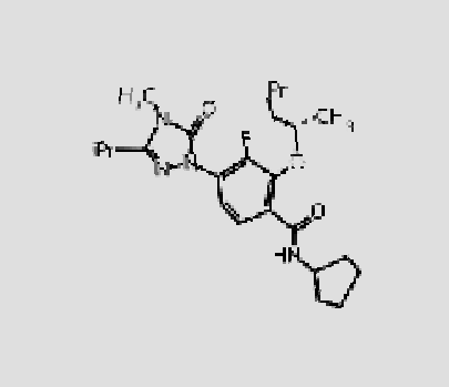 CC(C)C[C@H](C)Oc1c(C(=O)NC2CCCC2)ccc(-n2nc(C(C)C)n(C)c2=O)c1F